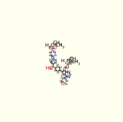 CC(C)(C)OC(=O)N1CCN(c2ncc(C(O)c3ccc(-c4cc5c(N6CCOCC6)ncnc5n4COCC[Si](C)(C)C)cc3)cn2)CC1